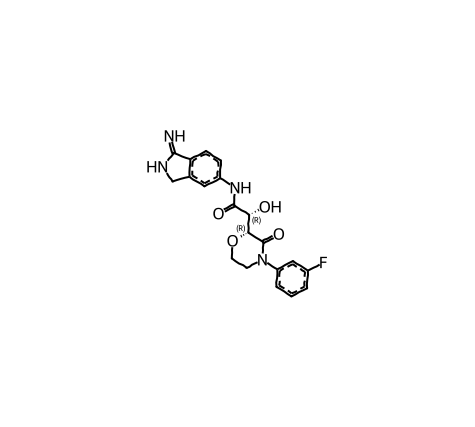 N=C1NCc2cc(NC(=O)[C@H](O)[C@H]3OCCN(c4cccc(F)c4)C3=O)ccc21